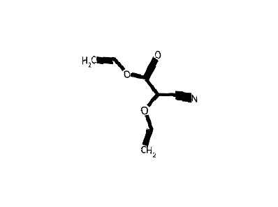 C=COC(=O)C(C#N)OC=C